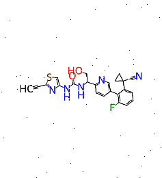 C#Cc1nc(NC(=O)N[C@@H](CO)c2ccc(-c3c(F)cccc3C3(C#N)CC3)cn2)cs1